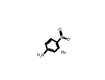 Nc1ccc([N+](=O)[O-])cc1.[Pb]